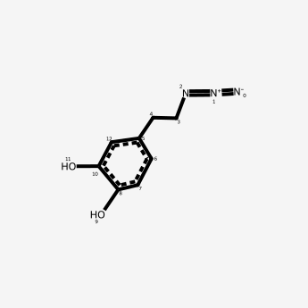 [N-]=[N+]=NCCc1ccc(O)c(O)c1